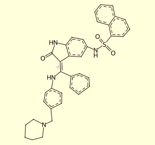 O=C1Nc2ccc(NS(=O)(=O)c3cccc4ccccc34)cc2/C1=C(/Nc1ccc(CN2CCCCC2)cc1)c1ccccc1